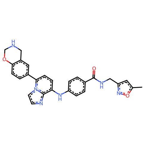 Cc1cc(CNC(=O)c2ccc(Nc3ccc(-c4ccc5c(c4)CNCO5)n4ccnc34)cc2)no1